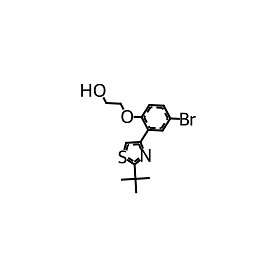 CC(C)(C)c1nc(-c2cc(Br)ccc2OCCO)cs1